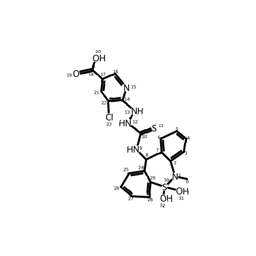 CN1c2ccccc2C(NC(=S)NNc2ncc(C(=O)O)cc2Cl)c2ccccc2S1(O)O